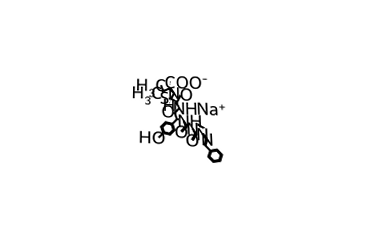 CC1(C)S[C@@H]2[C@H](NC(=O)C(NC(=O)N3CCN(N=Cc4ccccc4)C3=O)c3ccc(O)cc3)C(=O)N2[C@H]1C(=O)[O-].[Na+]